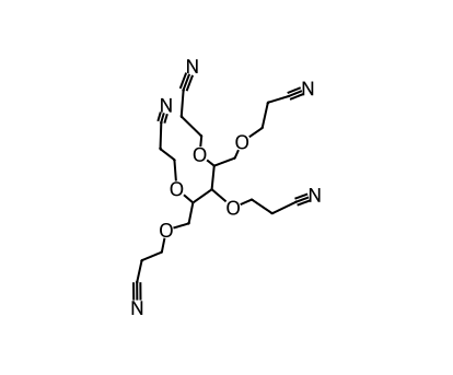 N#CCCOCC(OCCC#N)C(OCCC#N)C(COCCC#N)OCCC#N